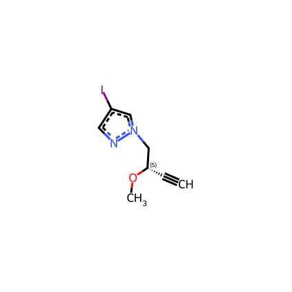 C#C[C@@H](Cn1cc(I)cn1)OC